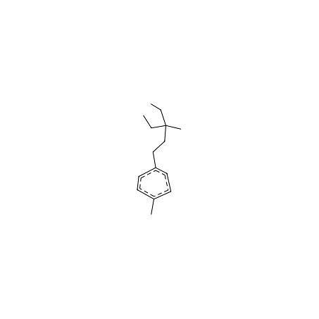 CCC(C)(CC)CCc1ccc(C)cc1